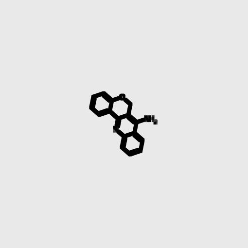 Nc1c2c(nc3ccccc13)-c1ccccc1OC2